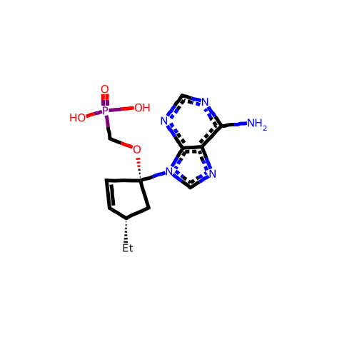 CC[C@@H]1C=C[C@@](OCP(=O)(O)O)(n2cnc3c(N)ncnc32)C1